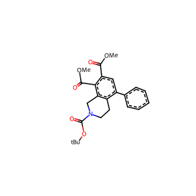 COC(=O)c1cc(-c2ccccc2)c2c(c1C(=O)OC)CN(C(=O)OC(C)(C)C)CC2